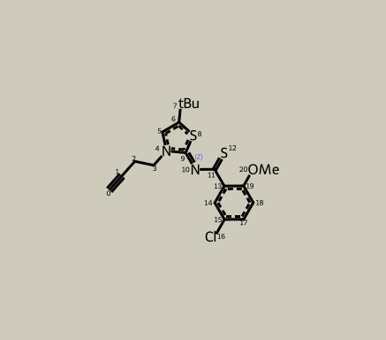 C#CCCn1cc(C(C)(C)C)s/c1=N\C(=S)c1cc(Cl)ccc1OC